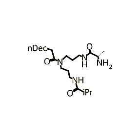 CCCCCCCCCCCC(=O)N(CCCNC(=O)C(C)C)CCCNC(=O)[C@H](C)N